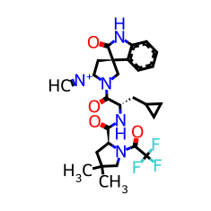 C#[N+][C@@H]1C[C@@]2(CN1C(=O)[C@H](CC1CC1)NC(=O)[C@@H]1CC(C)(C)CN1C(=O)C(F)(F)F)C(=O)Nc1ccccc12